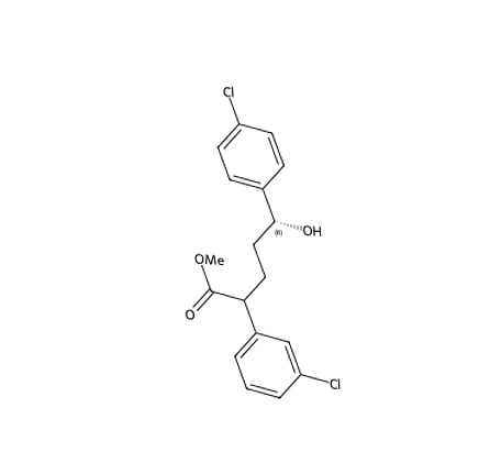 COC(=O)C(CC[C@@H](O)c1ccc(Cl)cc1)c1cccc(Cl)c1